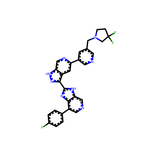 Fc1ccc(-c2cncc3[nH]c(-c4n[nH]c5cnc(-c6cncc(CN7CCC(F)(F)C7)c6)cc45)nc23)cc1